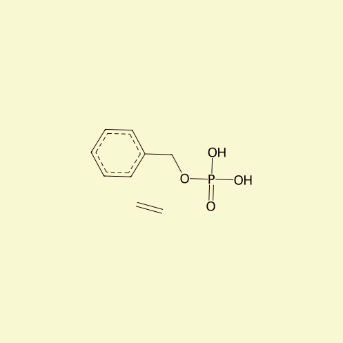 C=C.O=P(O)(O)OCc1ccccc1